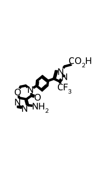 Nc1ncnc2c1C(=O)N(c1ccc(-c3cn(CCC(=O)O)nc3C(F)(F)F)cc1)CCO2